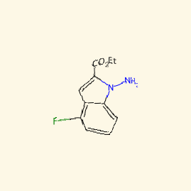 CCOC(=O)c1cc2c(F)cccc2n1N